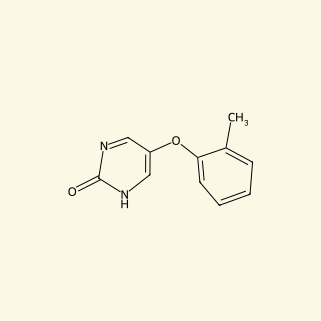 Cc1ccccc1Oc1cnc(=O)[nH]c1